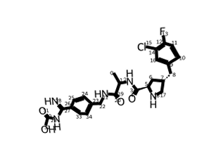 CC(NC(=O)[C@H]1C[C@H](Cc2ccc(F)c(Cl)c2)CN1)C(=O)NCc1ccc(C(=N)NC(=O)O)cc1